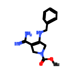 CC(C)(C)OC(=O)N1CC(NCc2ccccc2)=C(C(=N)N)C1